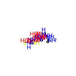 CSCC[C@H](NC(=O)[C@@H]1CCCN1C(=O)[C@H](CS)NC(=O)[C@@H]1CCCN1C(=O)[C@H](CCC(=O)O)NC(=O)[C@@H]1CCCN1C(=O)[C@@H](NC(=O)[C@H](CO)NC(=O)[C@H](CC(C)C)NC(=O)[C@@H](N)Cc1c[nH]c2ccccc12)[C@@H](C)O)C(=O)O